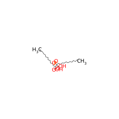 CCCCCCCCCCCCC(C(=O)O)C(CCCCCCCCCCCC)(C(=O)O)P(=O)=O